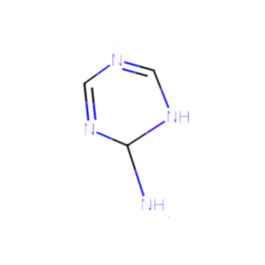 NC1N=CN=CN1